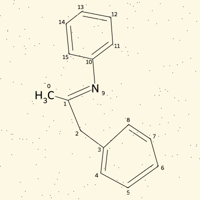 CC(Cc1ccccc1)=Nc1ccccc1